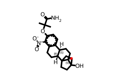 CC(C)(Oc1ccc2c(c1[N+](=O)[O-])CC[C@@H]1[C@@H]2CC[C@]2(C)C3(O)CCC12CC3)C(N)=O